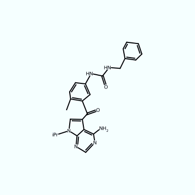 Cc1ccc(NC(=O)NCc2ccccc2)cc1C(=O)c1cn(C(C)C)c2ncnc(N)c12